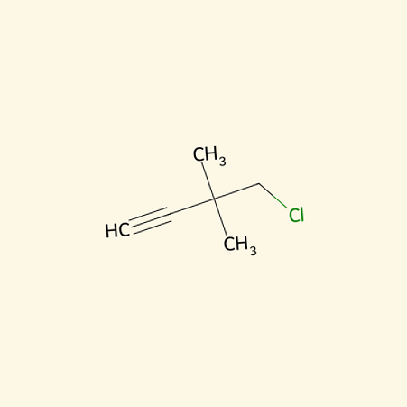 C#CC(C)(C)CCl